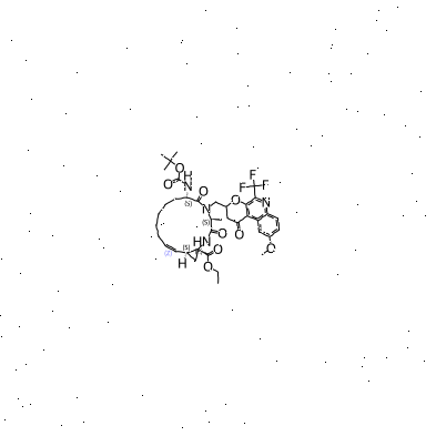 CCOC(=O)[C@@]12C[C@H]1/C=C\CCCCC[C@H](NC(=O)OC(C)(C)C)C(=O)N(CC1CC(=O)c3c(c(C(F)(F)F)nc4ccc(OC)cc34)O1)[C@@H](C)C(=O)N2